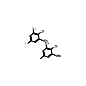 CCc1cc(C(C)(C)C)c(O)c(C(C)(C)C)c1.Cc1cc(C(C)(C)C)c(O)c(C(C)(C)C)c1